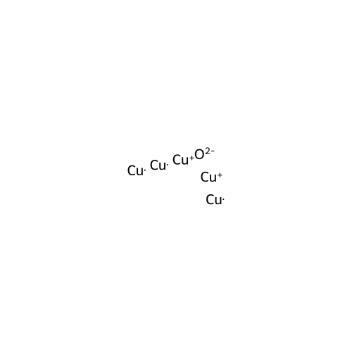 [Cu+].[Cu+].[Cu].[Cu].[Cu].[O-2]